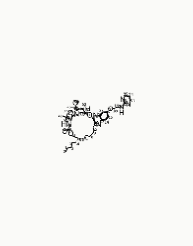 CCCCC[C@H]1CCCCCc2nc3ccc(OCCNc4ncccn4)cc3nc2O[C@H]2CN(C(=O)[C@H](C(C)(C)C)NC(=O)OC1)[C@H](C(C)=O)[C@@H]2C